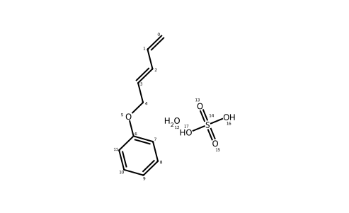 C=CC=CCOc1ccccc1.O.O=S(=O)(O)O